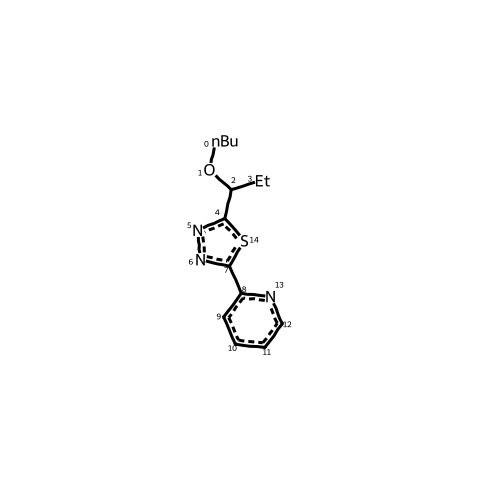 CCCCOC(CC)c1nnc(-c2ccccn2)s1